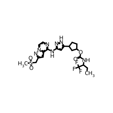 CCC(NC(=O)OC1CCC(c2cc(Nc3nccn4nc(CS(C)(=O)=O)cc34)n[nH]2)C1)C(F)(F)F